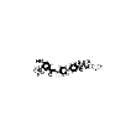 CCCCN(CC(=O)OCC)S(=O)(=O)c1ccc(N2CCC(NC[C@@H](O)c3ccc(O)c(NS(C)(=O)=O)c3)CC2)cc1